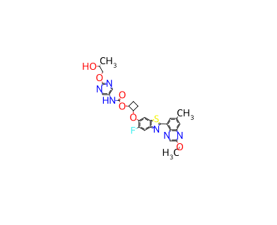 COc1cnc2c(-c3nc4cc(F)c(O[C@@H]5CC[C@@H]5OC(=O)Nc5cnc(OC[C@@H](C)O)nc5)cc4s3)cc(C)cc2n1